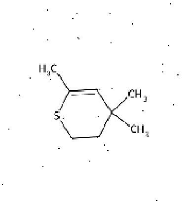 CC1=[C]C(C)(C)CCS1